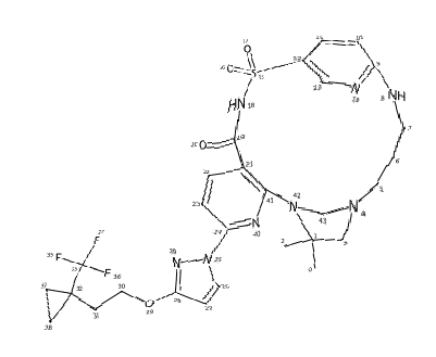 CC1(C)CN2CCCNc3ccc(cn3)S(=O)(=O)NC(=O)c3ccc(-n4ccc(OCCC5(C(F)(F)F)CC5)n4)nc3N1C2